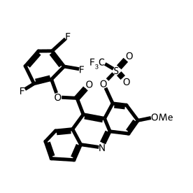 COc1cc(OS(=O)(=O)C(F)(F)F)c2c(C(=O)Oc3c(F)ccc(F)c3F)c3ccccc3nc2c1